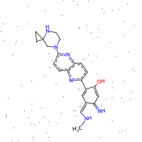 CN/C=C1/C=C(c2ccc3nc(N4CCNC5(CC5)C4)ccc3n2)C(O)=CC1=N